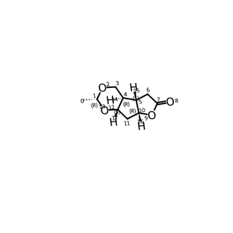 C[C@@H]1OC[C@H]2[C@@H]3CC(=O)O[C@@H]3C[C@@H]2O1